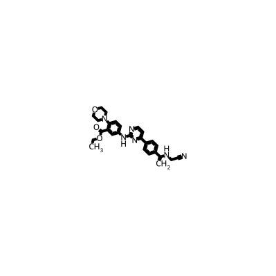 C=C(NCC#N)c1ccc(-c2ccnc(Nc3ccc(N4CCOCC4)c(C(=O)OCC)c3)n2)cc1